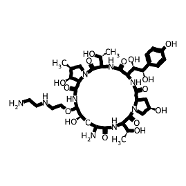 C[C@@H](O)C1NC(=O)C(N)C[C@@H](O)C(OCCNCCN)NC(=O)C2[C@@H](O)[C@@H](C)CN2C(=O)C([C@@H](C)O)NC(=O)C([C@H](O)[C@@H](O)c2ccc(O)cc2)NC(=O)C2C[C@@H](O)CN2C1=O